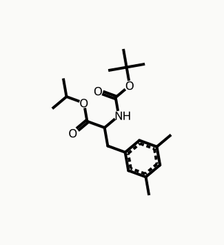 Cc1cc(C)cc(CC(NC(=O)OC(C)(C)C)C(=O)OC(C)C)c1